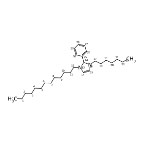 CCCCCCCCCCCCCN1C=CN(CCCCCCC)C1c1ccccc1